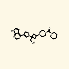 N#CCC1(n2cc(-c3ncnc4[nH]ccc34)cn2)CC(N2CCN(C(=O)N3CCCCC3)CC2)C1